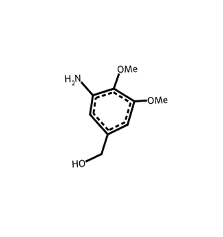 COc1cc(CO)cc(N)c1OC